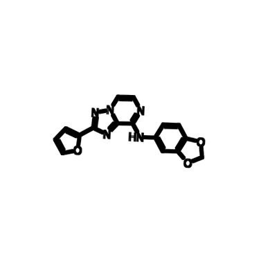 c1coc(-c2nc3c(Nc4ccc5c(c4)OCO5)nccn3n2)c1